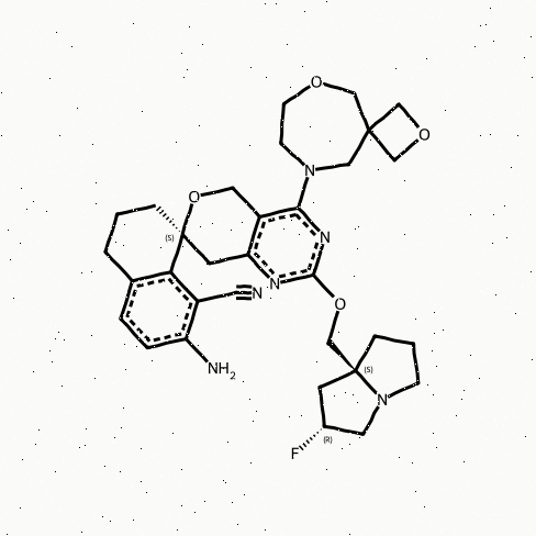 N#Cc1c(N)ccc2c1[C@]1(CCC2)Cc2nc(OC[C@@]34CCCN3C[C@H](F)C4)nc(N3CCOCC4(COC4)C3)c2CO1